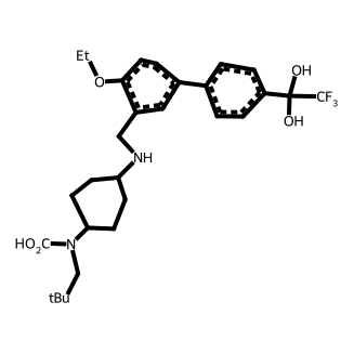 CCOc1ccc(-c2ccc(C(O)(O)C(F)(F)F)cc2)cc1CNC1CCC(N(CC(C)(C)C)C(=O)O)CC1